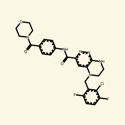 O=C(Nc1ccc(C(=O)N2CCOCC2)cc1)c1cc2c(nn1)NCCN2Cc1c(F)ccc(F)c1Cl